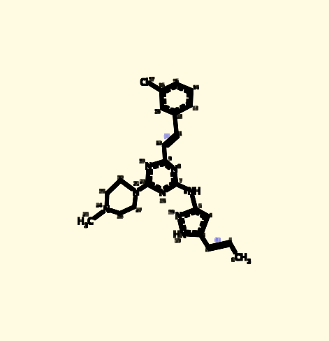 C/C=C/c1cc(Nc2nc(/C=C/c3cccc(Cl)c3)nc(N3CCN(C)CC3)n2)n[nH]1